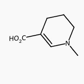 CN1C=C(C(=O)O)CCC1